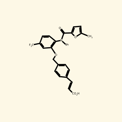 Cc1ccc(C(=O)N(c2ccc(C(F)(F)F)cc2OCc2ccc(C=CC(=O)O)cc2)C(C)C)o1